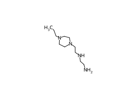 CCCN1CCN(CCNCCN)CC1